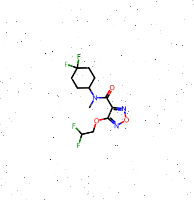 CN(C(=O)c1nonc1OCC(F)F)C1CCC(F)(F)CC1